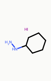 I.NNC1CCCCC1